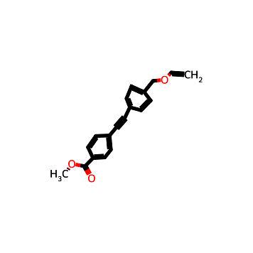 C=COCc1ccc(C#Cc2ccc(C(=O)OC)cc2)cc1